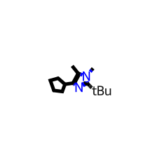 Cc1c(C2CCCC2)nc(C(C)(C)C)n1C